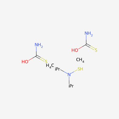 C.C.CC(C)N(S)C(C)C.NC(O)=S.NC(O)=S